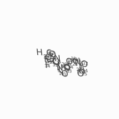 CS(=O)(=O)c1ncc(N2CCOc3ccc(O[C@H]4CCN(C(=O)[C@H]5CCOC5)C4)cc32)cc1C(F)F